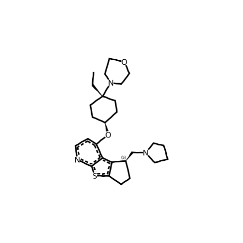 CC[C@]1(N2CCOCC2)CC[C@H](Oc2ccnc3sc4c(c23)[C@@H](CN2CCCC2)CC4)CC1